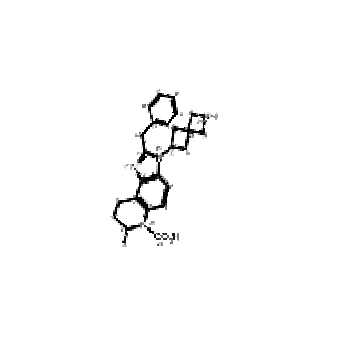 C[C@H]1CCc2c(ccc3c2nc(Cc2ccccc2)n3C2CC3(CNC3)C2)N1C(=O)O